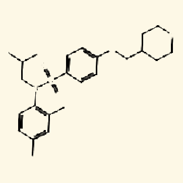 Cc1ccc(N(CC(C)C)S(=O)(=O)c2ccc(OCC3CCOCC3)cc2)c(C)c1